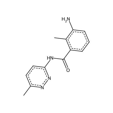 Cc1ccc(NC(=O)c2cccc(N)c2C)nn1